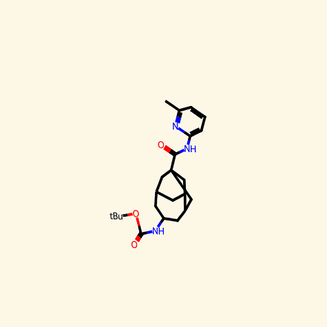 Cc1cccc(NC(=O)C23CC4CC(NC(=O)OC(C)(C)C)CC(C2)C(C4)C3)n1